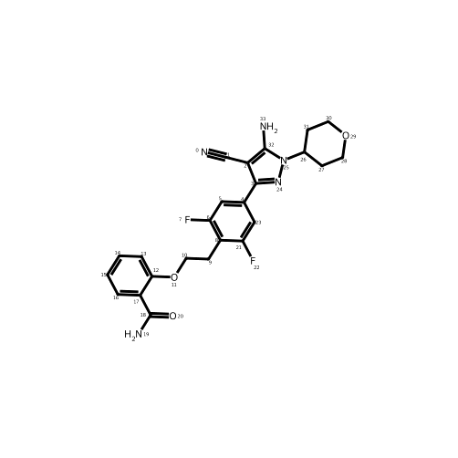 N#Cc1c(-c2cc(F)c(CCOc3ccccc3C(N)=O)c(F)c2)nn(C2CCOCC2)c1N